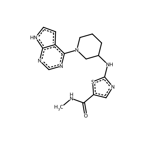 CNC(=O)c1cnc(NC2CCCN(c3ncnc4[nH]ccc34)C2)s1